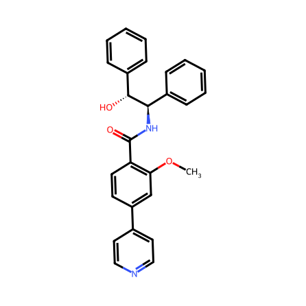 COc1cc(-c2ccncc2)ccc1C(=O)N[C@H](c1ccccc1)[C@H](O)c1ccccc1